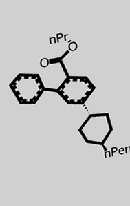 CCCCC[C@H]1CC[C@H](c2ccc(C(=O)OCCC)c(-c3ccccc3)c2)CC1